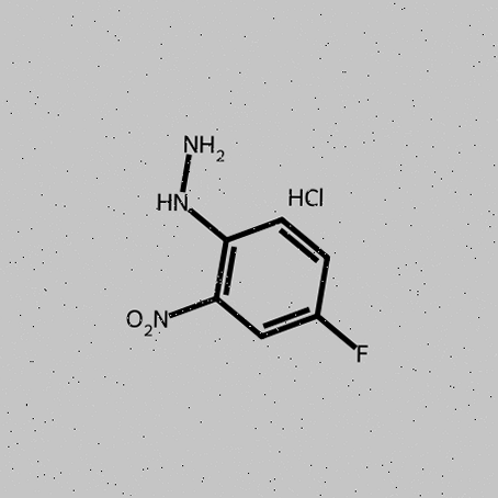 Cl.NNc1ccc(F)cc1[N+](=O)[O-]